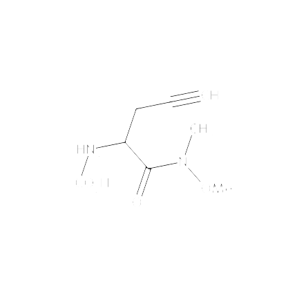 C#CCC(NC(=O)O)C(=O)N(C)OC